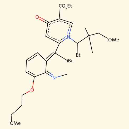 CCOC(=O)c1cn(C(CC)C(C)(C)COC)c(/C(=C2\C=CC=C(OCCCOC)\C2=N\C)C(C)CC)cc1=O